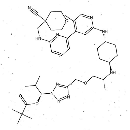 Cc1cnc(N[C@H]2CC[C@H](N[C@H](C)COCc3nnn([C@@H](OC(=O)C(C)(C)C)C(C)C)n3)CC2)cc1-c1cccc(NCC2(C#N)CCOCC2)n1